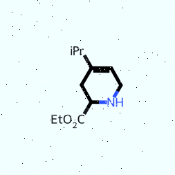 [CH2]C(C)C1=CCNC(C(=O)OCC)C1